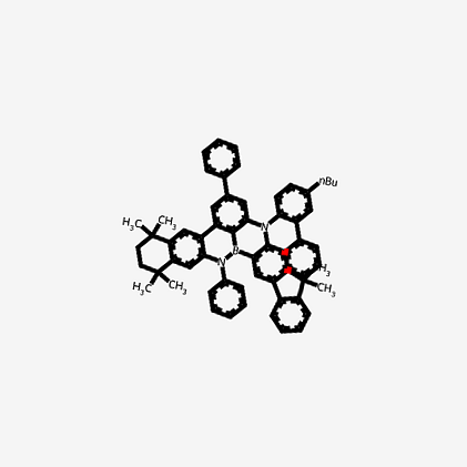 CCCCc1ccc(N2c3cc4c(cc3B3c5c(cc(-c6ccccc6)cc52)-c2cc5c(cc2N3c2ccccc2)C(C)(C)CCC5(C)C)-c2ccccc2C4(C)C)c(-c2ccccc2)c1